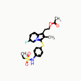 CCS(=O)(=O)Nc1ccc(Sc2c(C)c(CCOC(C)=O)c3ccc(F)cn23)cc1